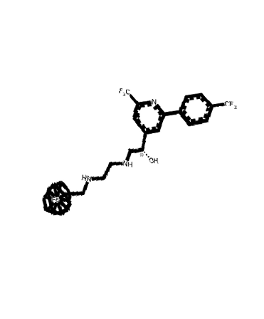 O[C@H](CNCCNC[C]12[CH]3[CH]4[CH]5[CH]1[Fe]45321678[CH]2[CH]1[CH]6[CH]7[CH]28)c1cc(-c2ccc(C(F)(F)F)cc2)nc(C(F)(F)F)c1